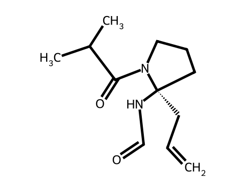 C=CC[C@@]1(NC=O)CCCN1C(=O)C(C)C